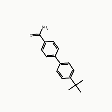 CC(C)(C)c1ccc(-c2ccc(C(N)=O)cc2)cc1